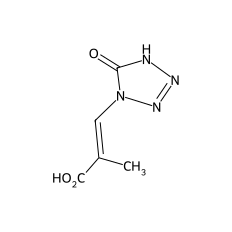 C/C(=C\n1nn[nH]c1=O)C(=O)O